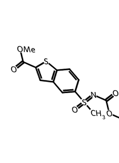 COC(=O)c1cc2cc(S(C)(=O)=NC(=O)OC(C)(C)C)ccc2s1